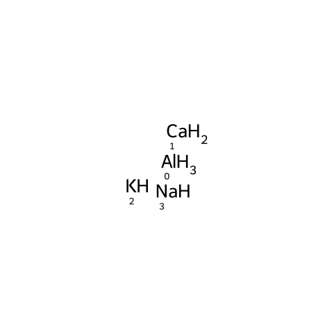 [AlH3].[CaH2].[KH].[NaH]